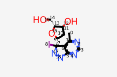 Cc1ncnc2c1C(I)([C@H]1CC(O)[C@@H](CO)O1)N=N2